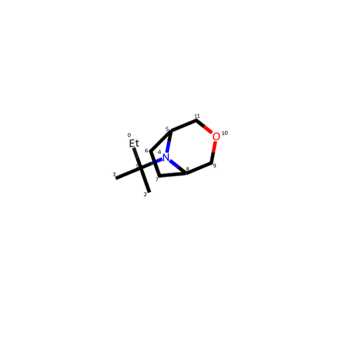 CCC(C)(C)N1C2CCC1COC2